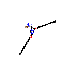 CCCCCCCCCCCCCCCCOCCN1CC[N+](CCCN)(CCOCCCCCCCCCCCCCCCC)CC1.[Br-]